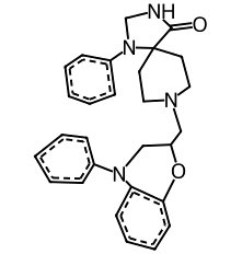 O=C1NCN(c2ccccc2)C12CCN(CC1CN(c3ccccc3)c3ccccc3O1)CC2